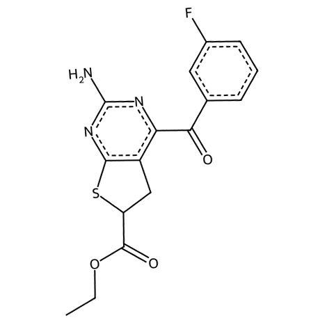 CCOC(=O)C1Cc2c(nc(N)nc2C(=O)c2cccc(F)c2)S1